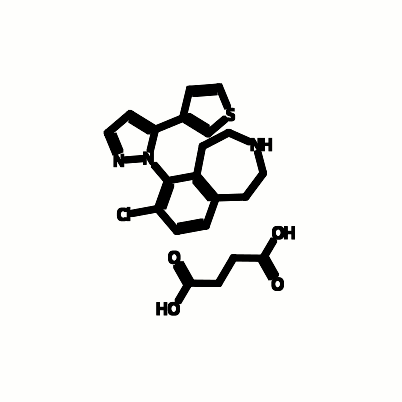 Clc1ccc2c(c1-n1nccc1-c1ccsc1)CCNCC2.O=C(O)CCC(=O)O